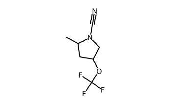 CC1CC(OC(F)(F)F)CN1C#N